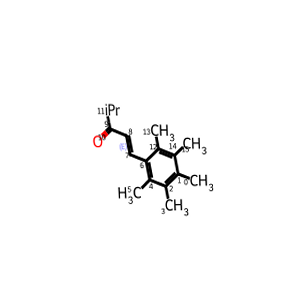 Cc1c(C)c(C)c(/C=C/C(=O)C(C)C)c(C)c1C